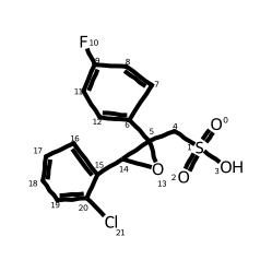 O=S(=O)(O)CC1(c2ccc(F)cc2)OC1c1ccccc1Cl